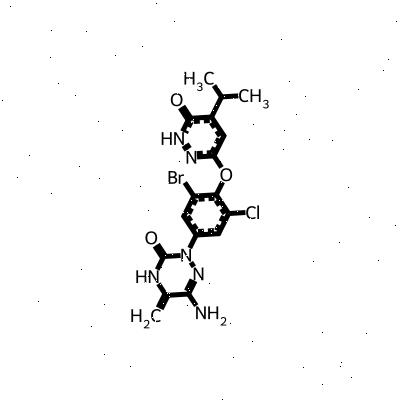 C=C1NC(=O)N(c2cc(Cl)c(Oc3cc(C(C)C)c(=O)[nH]n3)c(Br)c2)N=C1N